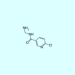 NCNC(=O)c1ccc(Cl)nc1